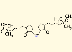 COC(C)(C)CCCCC1CCC(/C=C\C2CCC(CCCCC(C)(C)C(=O)O)C2=O)C1=O